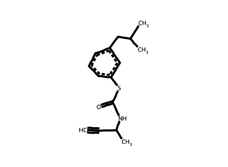 C#CC(C)NC(=O)Sc1cccc(CC(C)C)c1